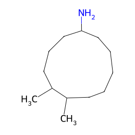 CC1CCCCCC(N)CCCC1C